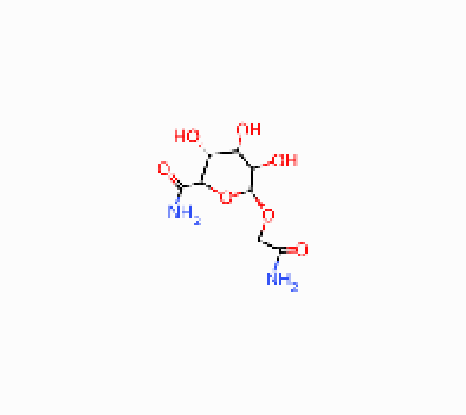 NC(=O)CO[C@H]1OC(C(N)=O)[C@H](O)C(O)C1O